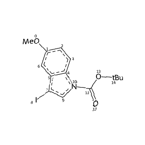 COc1ccc2c(c1)c(I)cn2C(=O)OC(C)(C)C